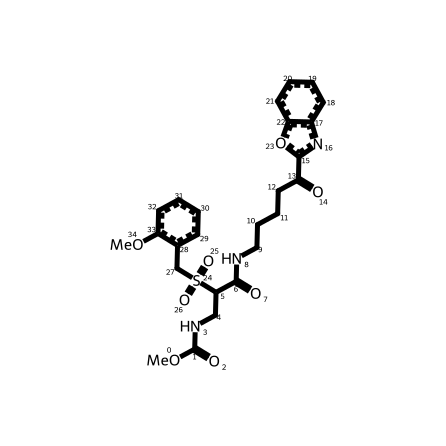 COC(=O)NCC(C(=O)NCCCCC(=O)c1nc2ccccc2o1)S(=O)(=O)Cc1ccccc1OC